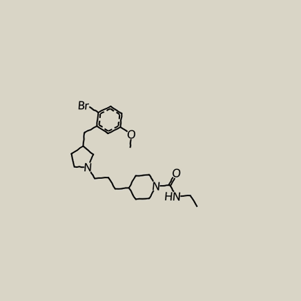 CCNC(=O)N1CCC(CCCN2CCC(Cc3cc(OC)ccc3Br)C2)CC1